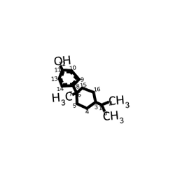 CC(C)C1CCC(C)(c2ccc(O)cc2)CC1